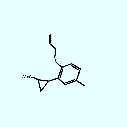 C=CCOc1ccc(F)cc1C1CC1NC